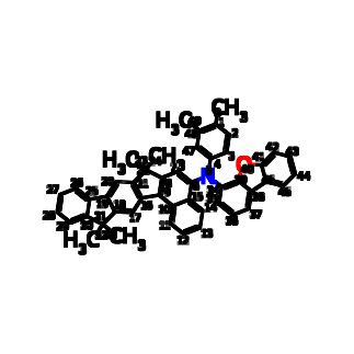 Cc1ccc(N(c2cc3c(c4ccccc24)-c2cc4c(cc2C3(C)C)-c2ccccc2C4(C)C)c2cccc3c2oc2ccccc23)cc1C